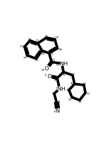 N#CCNC(=O)C(CC1CCCCC1)NC(=O)c1cccc2ccccc12